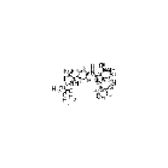 CC(C)(C)CNC(c1ccc(Nc2nn([C@H]3COCCC3C#N)c3cc[nH]c(=O)c23)cc1)C(F)(F)F